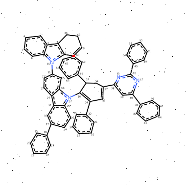 C1=Cc2c(c3ccccc3n2-c2ccc3c4cc(-c5ccccc5)ccc4n(C4=C(c5ccccc5)C=C(c5cc(-c6ccccc6)nc(-c6ccccc6)n5)CC4c4ccccc4)c3c2)CC1